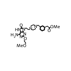 COCCOc1nc(N)c2[nH]c(=O)n(CCN3CCN(Cc4cccc(CC(=O)OC)c4)CC3)c2n1